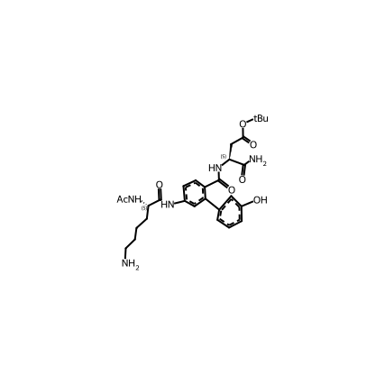 CC(=O)N[C@@H](CCCCN)C(=O)Nc1ccc(C(=O)N[C@@H](CC(=O)OC(C)(C)C)C(N)=O)c(-c2cccc(O)c2)c1